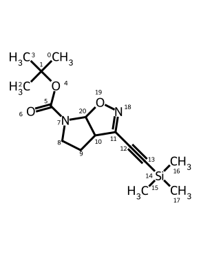 CC(C)(C)OC(=O)N1CCC2C(C#C[Si](C)(C)C)=NOC21